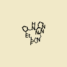 CCc1ccccc1CNc1nc(CN2CCC(F)(I)C2)nc2ncccc12